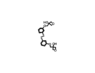 OC1(COc2cccc(SSc3cccc(OCC4(O)COC4)c3)c2)COC1